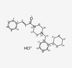 Cl.O=C(C=Cc1ccccc1)N1CCN(Cc2ccccc2C2CCCCC2)CC1